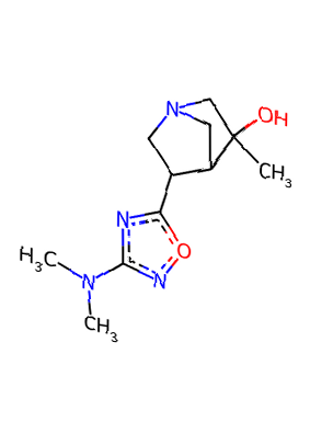 CN(C)c1noc(C2CN3CC2C(C)(O)C3)n1